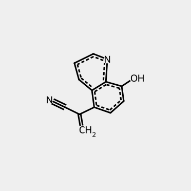 C=C(C#N)c1ccc(O)c2ncccc12